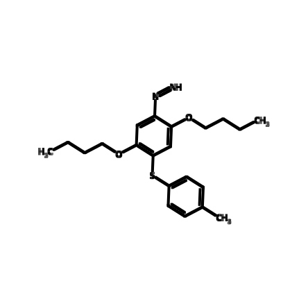 CCCCOc1cc(Sc2ccc(C)cc2)c(OCCCC)cc1N=N